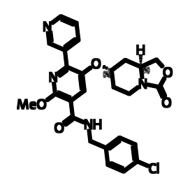 COc1nc(-c2cccnc2)c(O[C@H]2CCN3C(=O)OC[C@@H]3C2)cc1C(=O)NCc1ccc(Cl)cc1